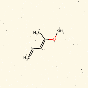 C=CC=C([SiH3])O[SiH3]